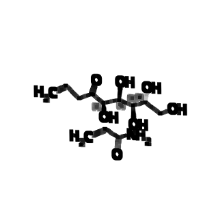 C=CC(N)=O.C=CCC(=O)[C@H](O)[C@@H](O)[C@H](O)[C@H](O)CO